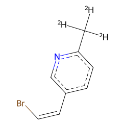 [2H]C([2H])([2H])c1ccc(/C=C\Br)cn1